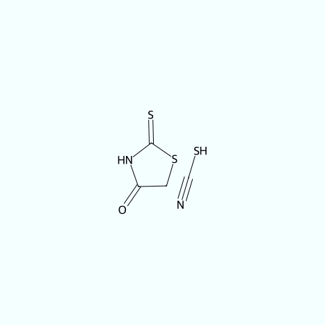 N#CS.O=C1CSC(=S)N1